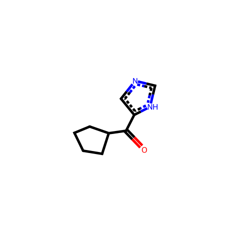 O=C(c1cnc[nH]1)C1CCCC1